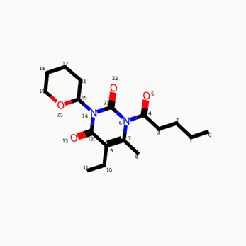 CCCCC(=O)n1c(C)c(CC)c(=O)n(C2CCCCO2)c1=O